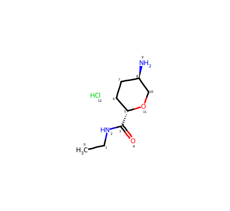 CCNC(=O)[C@@H]1CC[C@@H](N)CO1.Cl